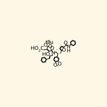 C[C@H]([C@H](Cc1ccc(C(=O)Nc2ccccc2)o1)c1ccc2c(c1)OCO2)N(CC=Cc1ccccc1)C(=O)C(O)=C(CC(=O)O)C(=O)OC(C)(C)C